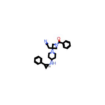 N#CCC1(N2CCC(N[C@H]3CC3c3ccccc3)CC2)CN(C(=O)c2ccccc2)C1